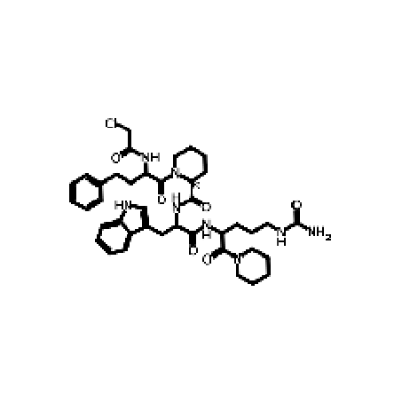 NC(=O)NCCCC(NC(=O)C(Cc1c[nH]c2ccccc12)NC(=O)[C@@H]1CCCCN1C(=O)C(CCc1ccccc1)NC(=O)CCl)C(=O)N1CCCCC1